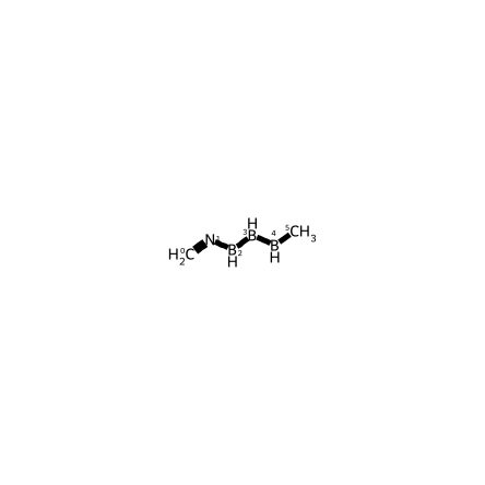 C=NBBBC